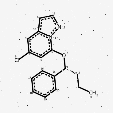 CCC[C@@H](Oc1cc(Cl)cc2ccnn12)c1ccccc1